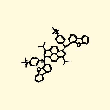 CC(C)c1cc(/C(=C/c2cccc3c2oc2ccccc23)c2ccc([Si](C)(C)C)cc2)c2ccc3c(C(C)C)cc(N(c4ccc(S(C)(C)C)cc4)c4cccc5c4oc4ccccc45)c4ccc1c2c34